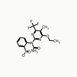 CCOc1nc(N(C(N)=O)c2ccccc2[N+](=O)[O-])nc(C(F)(F)F)c1C